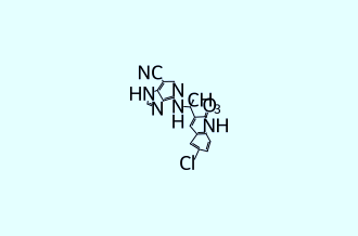 C[C@H](Nc1ncc(C#N)c2[nH]cnc12)c1cc2cc(Cl)ccc2[nH]c1=O